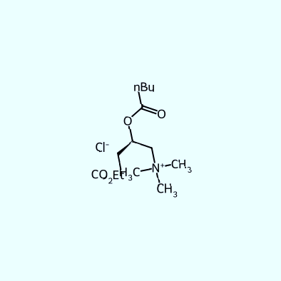 CCCCC(=O)O[C@H](CC(=O)OCC)C[N+](C)(C)C.[Cl-]